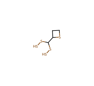 SSC(SS)C1CCS1